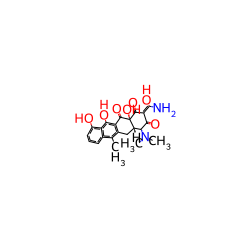 Cc1c2c(c(O)c3c(O)cccc13)C(=O)[C@]1(O)C(=O)/C(=C(/N)O)C(=O)[C@@H](N(C)C)[C@@H]1C2